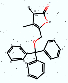 CC1=C(COC(c2ccccc2)(c2ccccc2)c2ccccc2)OC(=O)[C@@H]1C